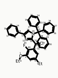 CCOc1cc(CC)cc(C(Cl)c2nc(-c3ccccc3)cn2C(c2ccccc2)(c2ccccc2)c2ccccc2)c1F